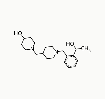 CC(O)c1ccccc1CN1CCC(CN2CCC(O)CC2)CC1